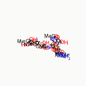 C/C=C\C#C[C@H](O[C@@H]1O[C@H](C)C(/C=N/O[C@H]2C[C@H](O)[C@H](SC(=O)c3c(C)c(I)c(O[C@@H]4O[C@@H](C)[C@H](O)[C@@H](OC)[C@H]4O)c(OC)c3OC)[C@@H](C)O2)[C@H](O)[C@H]1O[C@H]1C[C@H](OC)[C@@H](NC)CO1)C1=C(NC(=O)OC)C(=O)C[C@](C)(O)/C1=C/CSSC(C)(C)CC(=O)NN